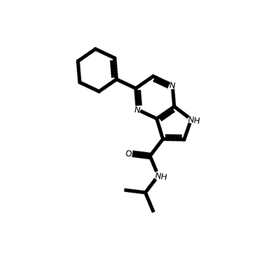 CC(C)NC(=O)c1c[nH]c2ncc(C3=CCCCC3)nc12